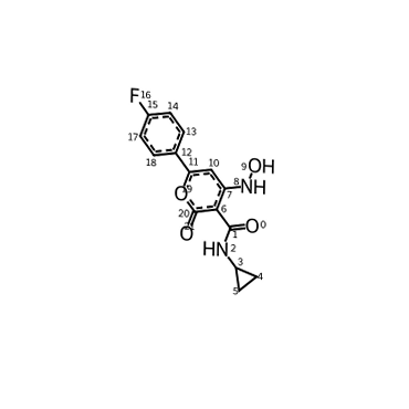 O=C(NC1CC1)c1c(NO)cc(-c2ccc(F)cc2)oc1=O